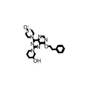 [O-][S+]1CCN(c2nc(N3CCCC(O)C3)nc3c(OCCc4ccccc4)ncnc23)CC1